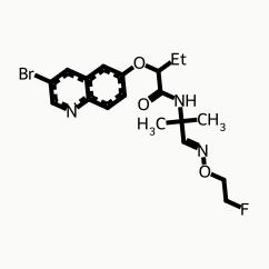 CCC(Oc1ccc2ncc(Br)cc2c1)C(=O)NC(C)(C)/C=N/OCCF